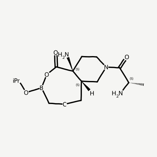 CC(C)OB1CCC[C@H]2CN(C(=O)[C@H](C)N)CC[C@@]2(N)C(=O)O1